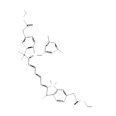 CC(=O)OCOC(=O)Cc1ccc2c(c1)C(C)(C)C(/C=C/C=C/C=C1C(C)c3ccc(CC(=O)OCOC(C)=O)cc3[N+]1(C)C)=[N+]2Cc1cc([N+](=O)[O-])cc([N+](=O)[O-])c1